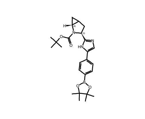 CC(C)(C)OC(=O)N1[C@@H]2CC2C[C@H]1c1ncc(-c2ccc(B3OC(C)(C)C(C)(C)O3)cc2)[nH]1